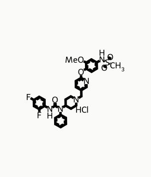 COc1cc(NS(C)(=O)=O)ccc1Oc1ccc(CN2CCC(N(C(=O)Nc3ccc(F)cc3F)c3ccccc3)CC2)cn1.Cl